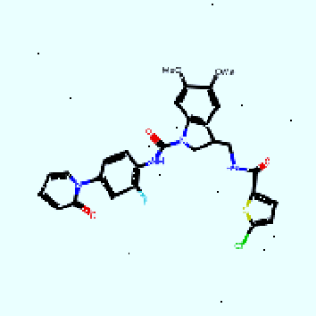 COc1cc2c(cc1OC)N(C(=O)Nc1ccc(-n3ccccc3=O)cc1F)CC2CNC(=O)c1ccc(Cl)s1